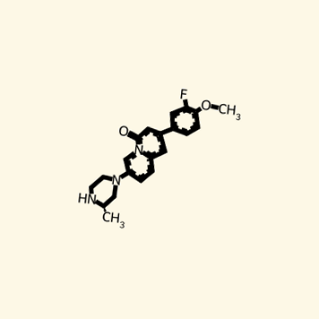 COc1ccc(-c2cc(=O)n3cc(N4CCN[C@@H](C)C4)ccc3c2)cc1F